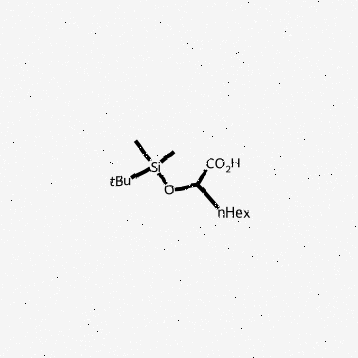 CCCCCCC(O[Si](C)(C)C(C)(C)C)C(=O)O